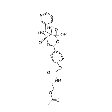 CC(=O)OCCNC(=O)Oc1ccc(C2OP(=O)(O)C(O)(Cc3cccnc3)P(=O)(O)O2)cc1